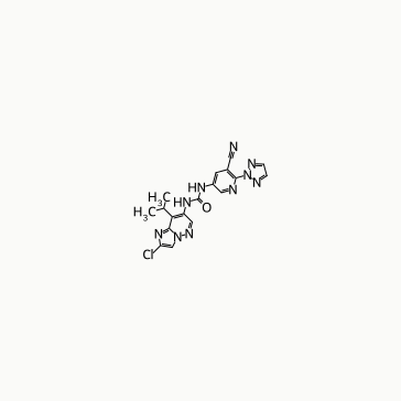 CC(C)c1c(NC(=O)Nc2cnc(-n3nccn3)c(C#N)c2)cnn2cc(Cl)nc12